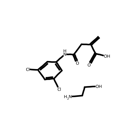 C=C(CC(=O)Nc1cc(Cl)cc(Cl)c1)C(=O)O.NCCO